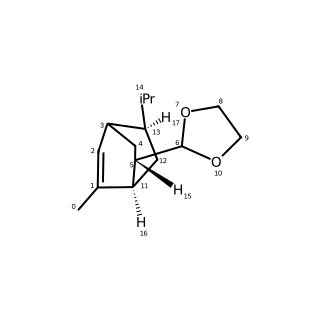 CC1=CC2C[C@H](C3OCCO3)[C@H]1C[C@@H]2C(C)C